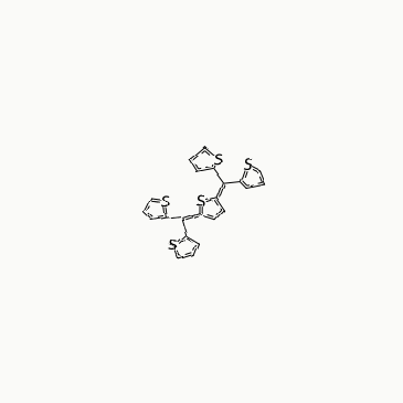 c1csc(C(c2cccs2)=c2ccc(=C(c3cccs3)c3cccs3)s2)c1